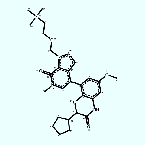 COc1cc2c(c(-c3cn(C)c(=O)c4c3cnn4COCCS(C)(C)C)c1)OC(C1CCCC1)C(=O)N2